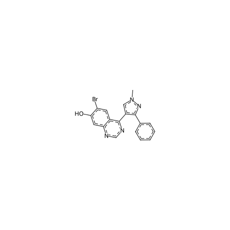 Cn1cc(-c2ncnc3cc(O)c(Br)cc23)c(-c2ccccc2)n1